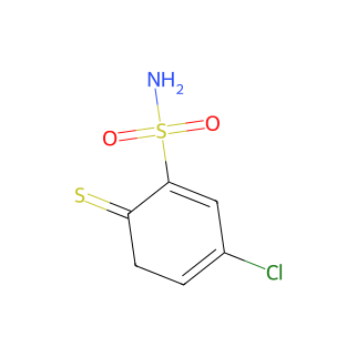 NS(=O)(=O)C1=CC(Cl)=CCC1=S